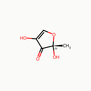 C[C@]1(O)OC=C(O)C1=O